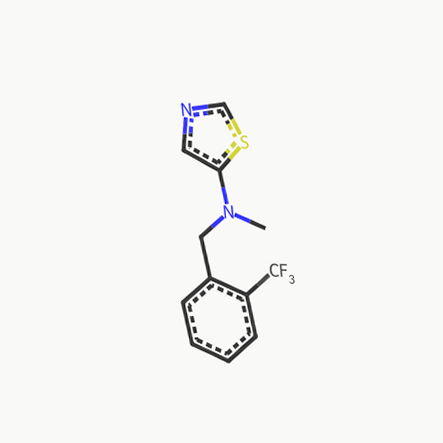 CN(Cc1ccccc1C(F)(F)F)c1cncs1